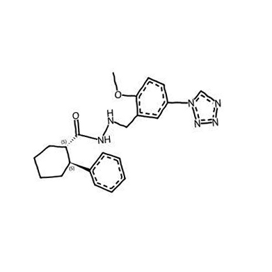 COc1ccc(-n2cnnn2)cc1CNNC(=O)[C@H]1CCCC[C@@H]1c1ccccc1